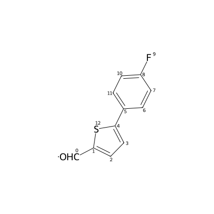 O=[C]c1ccc(-c2ccc(F)cc2)s1